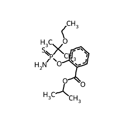 CCOC(C)(C)P(N)(=S)Oc1ccccc1C(=O)OC(C)C